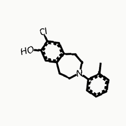 Cc1ccccc1N1CCc2cc(O)c(Cl)cc2CC1